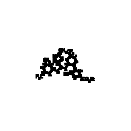 CCOC(=O)c1nc(-c2ccc(C(F)(F)F)cc2CN(Cc2cc(C(F)(F)F)cc(C(F)(F)F)c2)c2nnn(C)n2)c(CC)s1